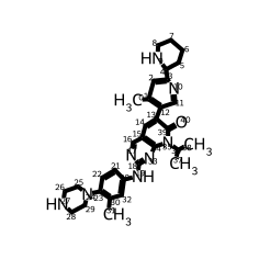 Cc1cc(C2CCCCN2)ncc1-c1cc2cnc(Nc3ccc(N4CCNCC4)c(C)c3)nc2n(C(C)C)c1=O